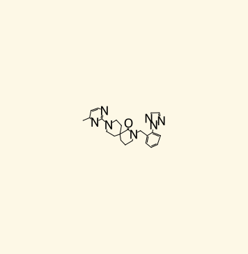 Cc1ccnc(N2CCC3(CCCN(Cc4ccccc4-n4nccn4)C3=O)CC2)n1